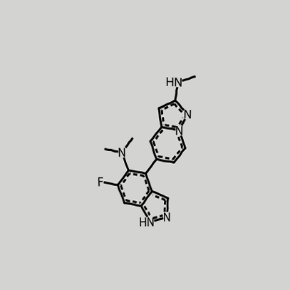 CNc1cc2cc(-c3c(N(C)C)c(F)cc4[nH]ncc34)ccn2n1